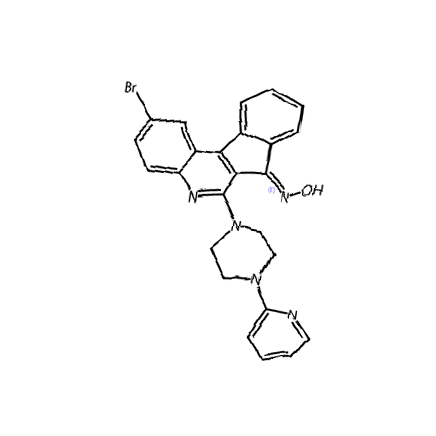 O/N=C1\c2ccccc2-c2c1c(N1CCN(c3ccccn3)CC1)nc1ccc(Br)cc21